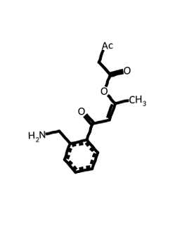 CC(=O)CC(=O)OC(C)=CC(=O)c1ccccc1CN